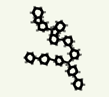 c1ccc(-c2ccc(-c3ccc(N(c4ccc(-c5ccccc5)cc4)c4cccc(-c5cccc(-c6cccc7c6c6ccccc6n7-c6ccc7sc8ccccc8c7c6)c5)c4)cc3)cc2)cc1